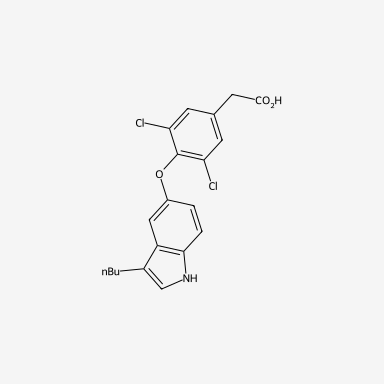 CCCCc1c[nH]c2ccc(Oc3c(Cl)cc(CC(=O)O)cc3Cl)cc12